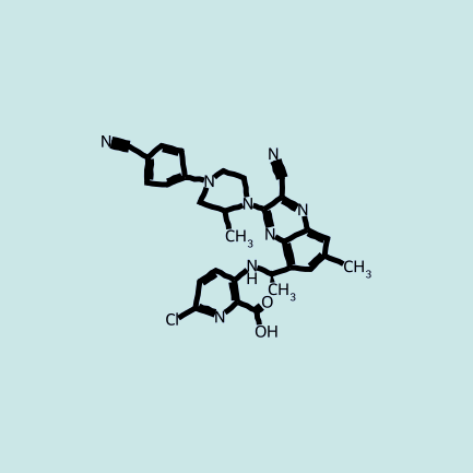 Cc1cc([C@@H](C)Nc2ccc(Cl)nc2C(=O)O)c2nc(N3CCN(c4ccc(C#N)cc4)CC3C)c(C#N)nc2c1